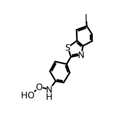 OONc1ccc(-c2nc3ccc(I)cc3s2)cc1